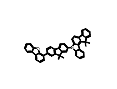 CC1(C)c2cc(-c3cccc4c3oc3ccccc34)ccc2-c2ccc(-n3c4ccccc4c4c5c(ccc43)-c3ccccc3C5(C)C)cc21